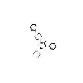 Cc1c(-c2cccc(Cl)c2)nc(N2CCOCC2)nc1N1CCN(c2ncccc2C(F)(F)F)CC1